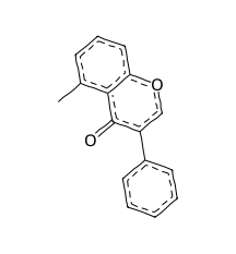 Cc1cccc2occ(-c3ccccc3)c(=O)c12